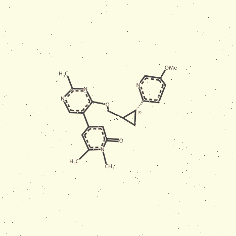 COc1ccc([C@@H]2CC2COc2nc(C)ncc2-c2cc(C)n(C)c(=O)c2)nc1